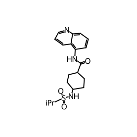 CC(C)S(=O)(=O)NC1CCC(C(=O)Nc2cccc3ncccc23)CC1